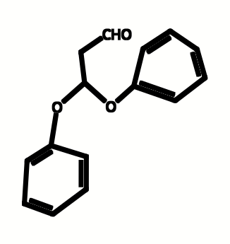 O=CCC(Oc1ccccc1)Oc1ccccc1